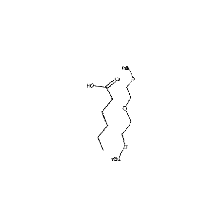 CCCCCC(=O)O.CCCCOCCOCCOCCCC